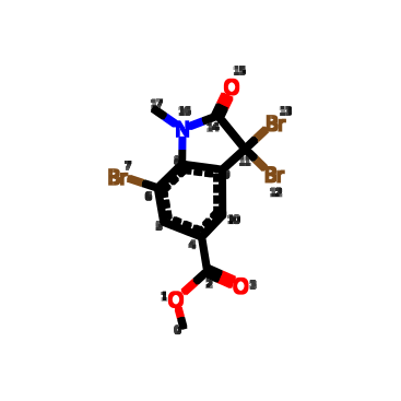 COC(=O)c1cc(Br)c2c(c1)C(Br)(Br)C(=O)N2C